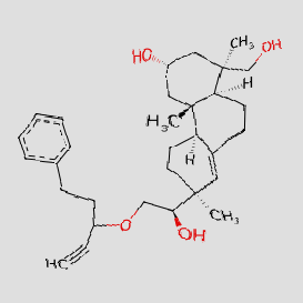 C#CC(CCc1ccccc1)OC[C@H](O)[C@]1(C)C=C2CC[C@@H]3[C@](C)(CO)C[C@@H](O)C[C@@]3(C)[C@@H]2CC1